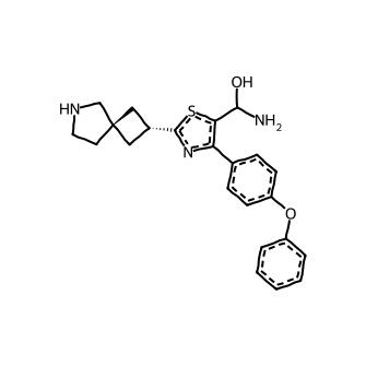 NC(O)c1sc([C@H]2C[C@]3(CCNC3)C2)nc1-c1ccc(Oc2ccccc2)cc1